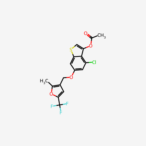 CC(=O)Oc1csc2cc(OCc3cc(C(F)(F)F)oc3C)cc(Cl)c12